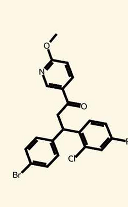 COc1ccc(C(=O)CC(c2ccc(Br)cc2)c2ccc(F)cc2Cl)cn1